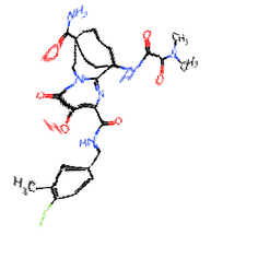 Cc1cc(CNC(=O)c2nc3n(c(=O)c2O)CC2(C(N)=O)CCC3(NC(=O)C(=O)N(C)C)CC2)ccc1F